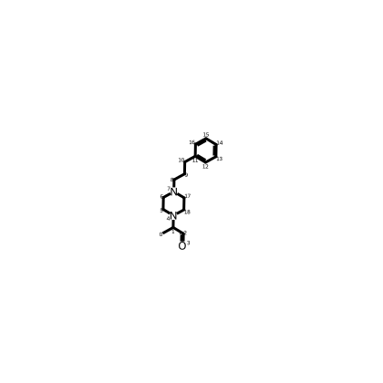 CC([C]=O)N1CCN(CCCc2ccccc2)CC1